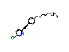 CCCCCCc1ccc(C#Cc2ccc(Cl)cn2)cc1